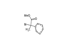 COC(=O)C(C)(Br)c1ccccc1